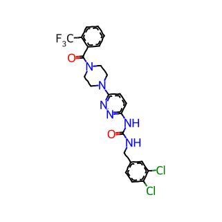 O=C(NCc1ccc(Cl)c(Cl)c1)Nc1ccc(N2CCN(C(=O)c3ccccc3C(F)(F)F)CC2)nn1